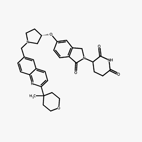 CC1(c2ccc3cc(CN4CC[C@H](Oc5ccc6c(c5)CN(C5CCC(=O)NC5=O)C6=O)C4)ccc3n2)CCOCC1